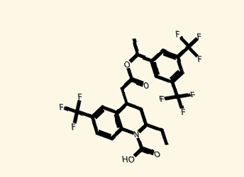 CCC1CC(CC(=O)OC(C)c2cc(C(F)(F)F)cc(C(F)(F)F)c2)c2cc(C(F)(F)F)ccc2N1C(=O)O